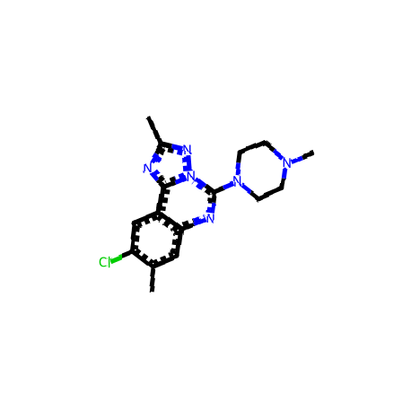 Cc1nc2c3cc(Cl)c(C)cc3nc(N3CCN(C)CC3)n2n1